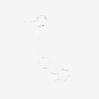 COc1c[c]ccc1OCCCCN1CCC(c2onc3cc(F)ccc23)CC1